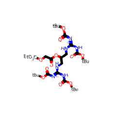 CCOC(=O)OCC(=O)OC(CN/C(=N\C(=O)OC(C)(C)C)NC(=O)OC(C)(C)C)CN/C(=N\C(=O)OC(C)(C)C)NC(=O)OC(C)(C)C